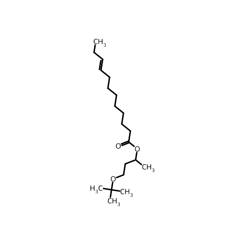 CC/C=C/CCCCCCCC(=O)OC(C)CCOC(C)(C)C